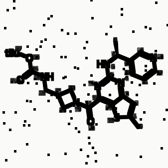 Cc1cc2nc(N[C@@H](C)c3cccnc3)nc(C(=O)N3CC(CNC(=O)OC(C)(C)C)C3)c2s1